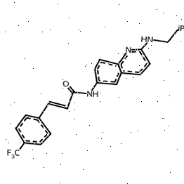 CC(C)CNc1ccc2cc(NC(=O)/C=C/c3ccc(C(F)(F)F)cc3)ccc2n1